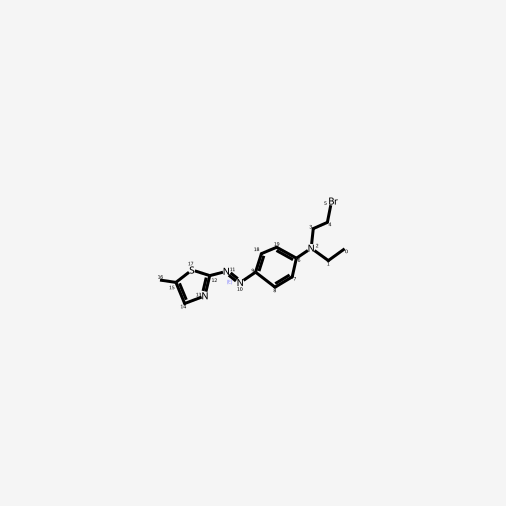 CCN(CCBr)c1ccc(/N=N/c2ncc(C)s2)cc1